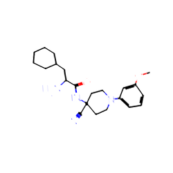 COc1cccc(N2CCC(C#N)(NC(=O)C(N)CC3CCCCC3)CC2)c1